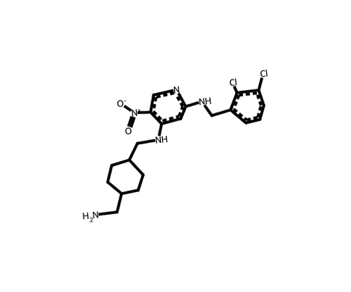 NCC1CCC(CNc2cc(NCc3cccc(Cl)c3Cl)ncc2[N+](=O)[O-])CC1